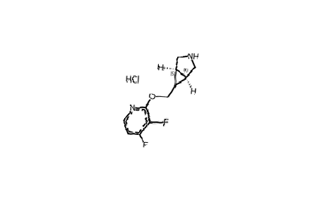 Cl.Fc1ccnc(OCC2[C@H]3CNC[C@@H]23)c1F